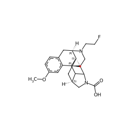 COc1ccc2c(c1)[C@]13CCN(CCF)[C@H](C2)[C@]12CCC1C3[C@@H](CN1C(=O)O)C2